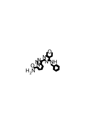 NC(=O)c1cccc2c(-c3nc4c(c(NCc5ccccc5)n3)CCOC4)nnn12